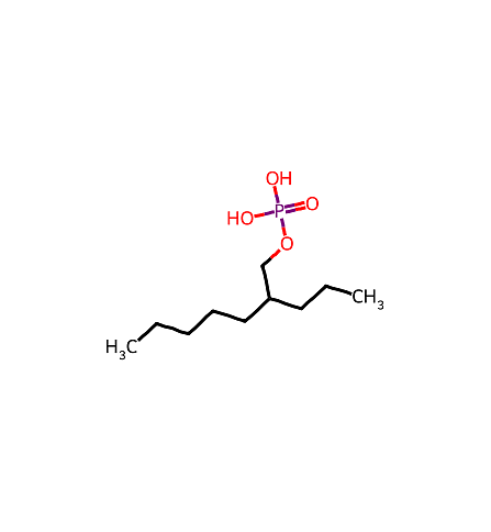 CCCCCC(CCC)COP(=O)(O)O